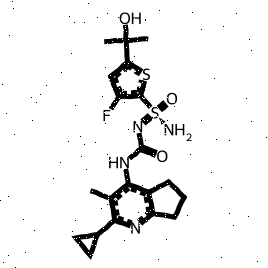 Cc1c(C2CC2)nc2c(c1NC(=O)N=[S@@](N)(=O)c1sc(C(C)(C)O)cc1F)CCC2